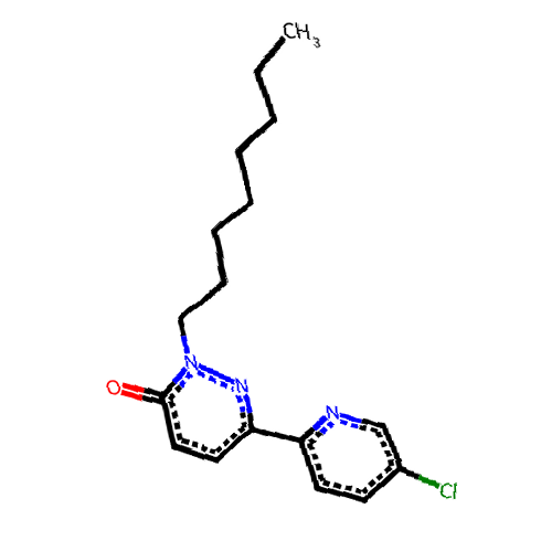 CCCCCCCCn1nc(-c2ccc(Cl)cn2)ccc1=O